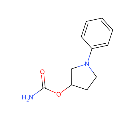 NC(=O)OC1CCN(c2ccccc2)C1